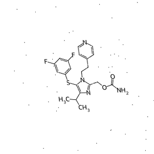 CC(C)c1nc(COC(N)=O)n(CCc2ccncc2)c1Sc1cc(F)cc(F)c1